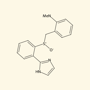 CNc1ccccc1C[S+]([O-])c1ccccc1-c1ncc[nH]1